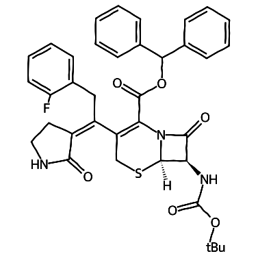 CC(C)(C)OC(=O)N[C@@H]1C(=O)N2C(C(=O)OC(c3ccccc3)c3ccccc3)=C(C(Cc3ccccc3F)=C3CCNC3=O)CS[C@H]12